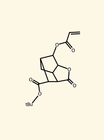 C=CC(=O)OC1C2CC3C1OC(=O)C3C2C(=O)OC(C)(C)C